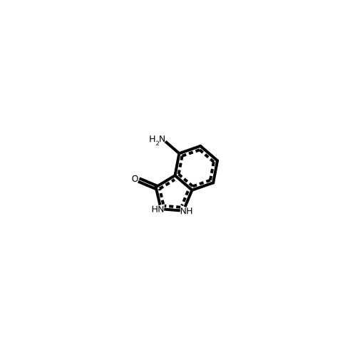 Nc1cccc2[nH][nH]c(=O)c12